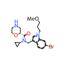 COCCCn1cc(CN(C(=O)[C@H]2CNCCO2)C2CC2)c2ccc(Br)cc21